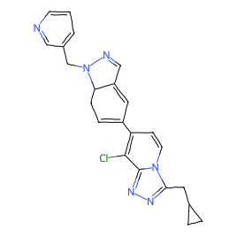 Clc1c(C2=CCC3C(=C2)C=NN3Cc2cccnc2)ccn2c(CC3CC3)nnc12